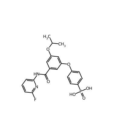 CC(C)Oc1cc(Oc2ccc(P(=O)(O)O)cc2)cc(C(=O)Nc2cccc(F)n2)c1